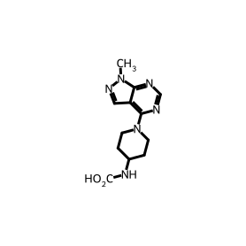 Cn1ncc2c(N3CCC(NC(=O)O)CC3)ncnc21